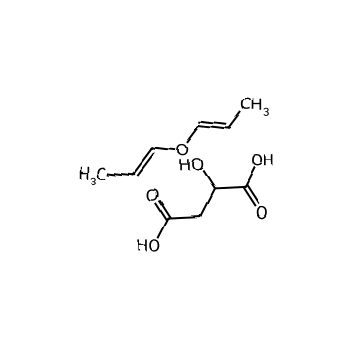 CC=COC=CC.O=C(O)CC(O)C(=O)O